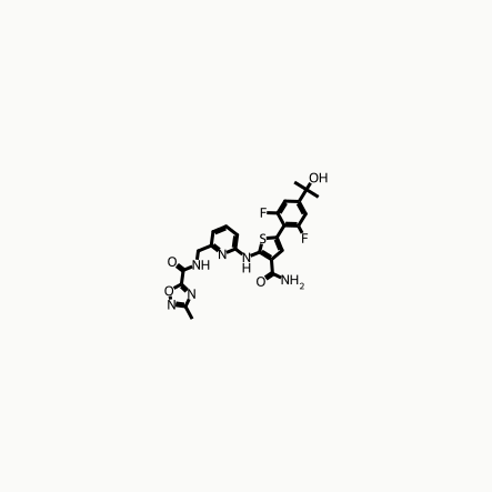 Cc1noc(C(=O)NCc2cccc(Nc3sc(-c4c(F)cc(C(C)(C)O)cc4F)cc3C(N)=O)n2)n1